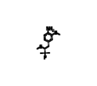 CSc1cc(CC(SC)C(C)(C)F)ccc1N